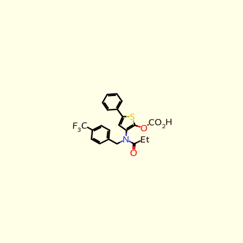 CCC(=O)N(Cc1ccc(C(F)(F)F)cc1)c1cc(-c2ccccc2)sc1OC(=O)O